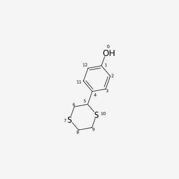 Oc1ccc(C2CSCCS2)cc1